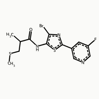 CSCC(C)C(=O)Nc1sc(-c2cncc(F)c2)nc1Br